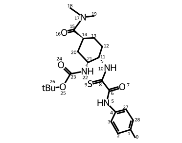 Cc1ccc(NC(=O)C(=S)N[C@H]2CC[C@H](C(=O)N(C)C)C[C@H]2NC(=O)OC(C)(C)C)cc1